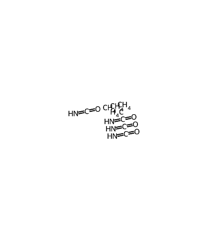 C.C.C.C.N=C=O.N=C=O.N=C=O.N=C=O